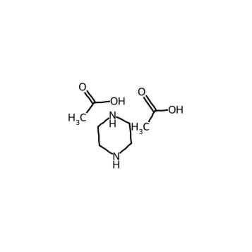 C1CNCCN1.CC(=O)O.CC(=O)O